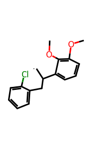 [CH2]C(Cc1ccccc1Cl)c1cccc(OC)c1OC